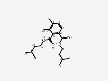 Cc1ccc(C(=O)OCCC(C)C)c(C(=O)OCCC(C)C)c1C